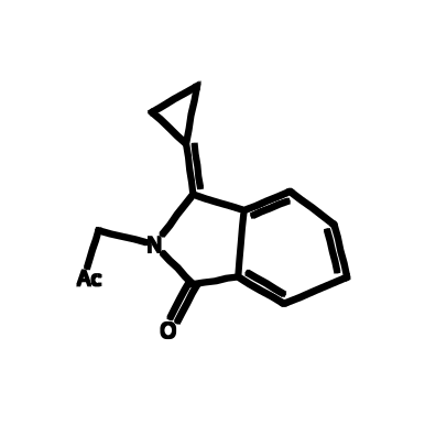 CC(=O)CN1C(=O)c2ccccc2C1=C1CC1